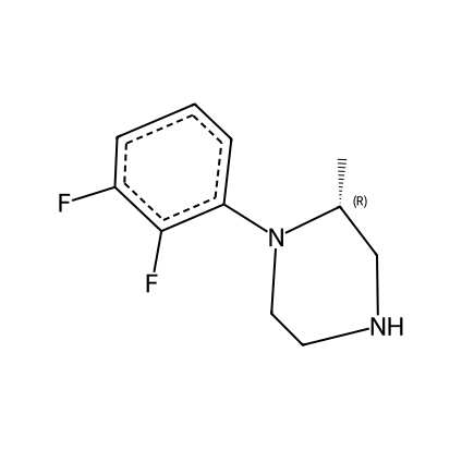 C[C@@H]1CNCCN1c1cccc(F)c1F